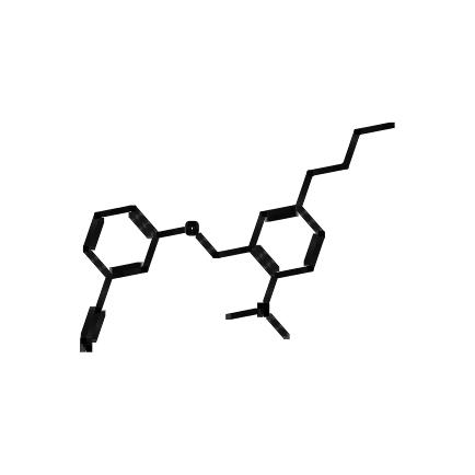 CCCCc1ccc(N(C)C)c(COc2cccc(C#N)c2)c1